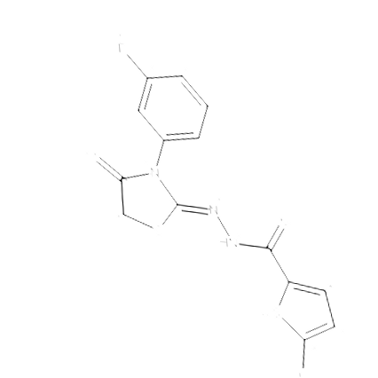 O=C(NN=C1SCC(=O)N1c1cccc(F)c1)c1ccc(Cl)s1